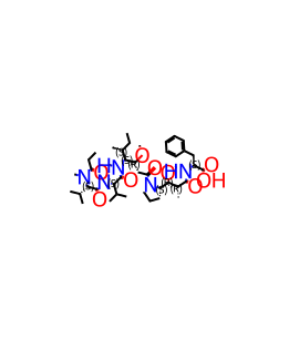 CCC(=O)N(C)[C@H](C(=O)N[C@H](C(=O)N(C)[C@@H]([C@@H](C)CC)[C@@H](CC(=O)N1CCC[C@H]1[C@H](OC)[C@@H](C)C(=O)N[C@@H](Cc1ccccc1)C(=O)O)OC)C(C)C)C(C)C